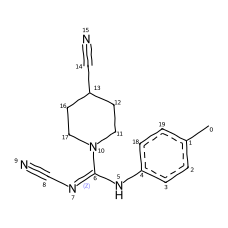 Cc1ccc(N/C(=N/C#N)N2CCC(C#N)CC2)cc1